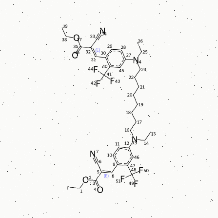 CCOC(=O)/C(C#N)=C/c1ccc(N(CC)CCCCCCCCN(CC)c2ccc(/C=C(\C#N)C(=O)OCC)c(C(F)(F)F)c2)cc1C(F)(F)F